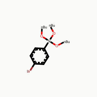 CCCCO[Si](OCCCC)(OCCCC)c1ccc(Br)cc1